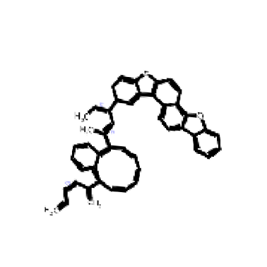 C=C/C=C\C(=C)c1ccccccc(/C(C)=C/C(=C\C)C2C=c3c(sc4ccc5c(ccc6c7ccccc7oc65)c34)=CC2)c2ccccc12